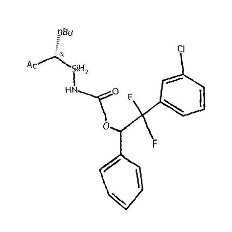 CCCC[C@H]([SiH2]NC(=O)OC(c1ccccc1)C(F)(F)c1cccc(Cl)c1)C(C)=O